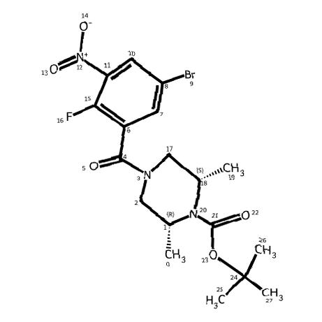 C[C@@H]1CN(C(=O)c2cc(Br)cc([N+](=O)[O-])c2F)C[C@H](C)N1C(=O)OC(C)(C)C